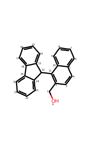 OCc1ccc2ccccc2c1C1c2ccccc2-c2ccccc21